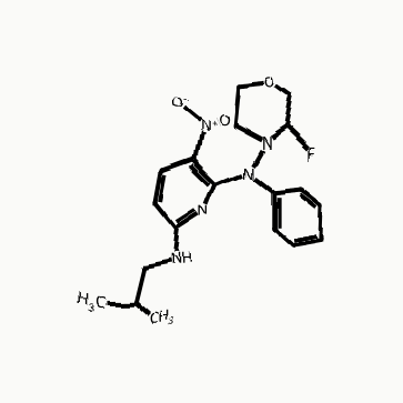 CC(C)CNc1ccc([N+](=O)[O-])c(N(c2ccccc2)N2CCOCC2F)n1